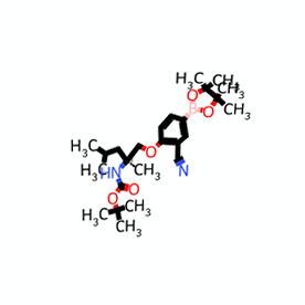 CC(C)C[C@@](C)(COc1ccc(B2OC(C)(C)C(C)(C)O2)cc1C#N)NC(=O)OC(C)(C)C